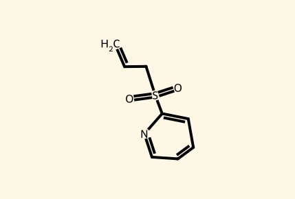 C=CCS(=O)(=O)c1ccccn1